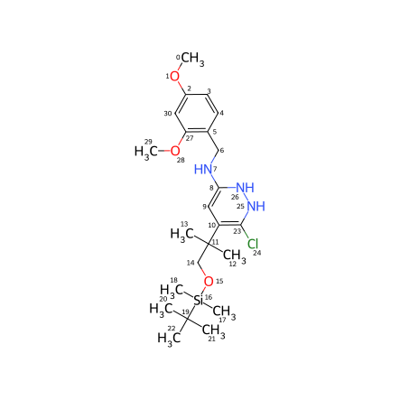 COc1ccc(CNC2=CC(C(C)(C)CO[Si](C)(C)C(C)(C)C)=C(Cl)NN2)c(OC)c1